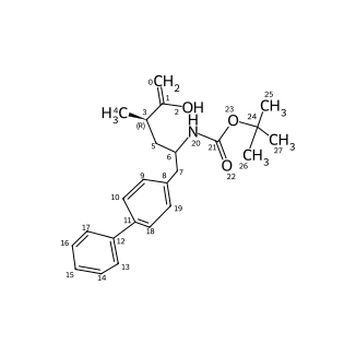 C=C(O)[C@H](C)CC(Cc1ccc(-c2ccccc2)cc1)NC(=O)OC(C)(C)C